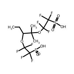 CCC(OC(F)(F)C(F)(F)S(=O)(=O)O)C(C)(C)OC(F)(F)C(F)(F)S(=O)(=O)O